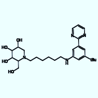 CC(C)(C)c1cc(NCCCCCCN2CC(O)C(O)C(O)C2CO)cc(-c2ncccn2)c1